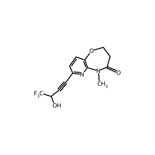 CN1C(=O)CCOc2ccc(C#CC(O)C(F)(F)F)nc21